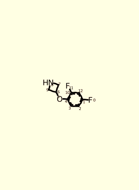 Fc1ccc(OC2CNC2)c(F)c1